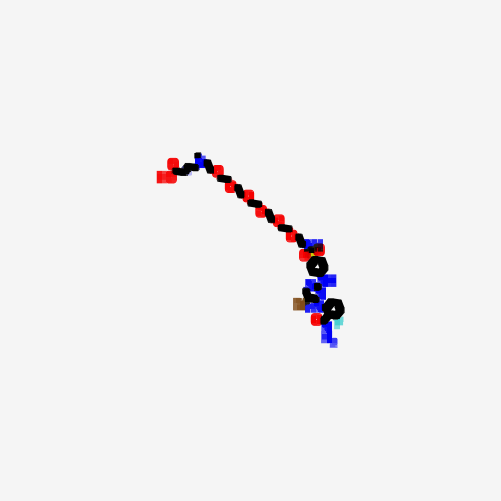 CN(C/C=C/C(=O)O)CCOCCOCCOCCOCCOCCOCCNS(=O)(=O)c1ccc(Nc2ncc(Br)c(Nc3cccc(F)c3C(N)=O)n2)cc1